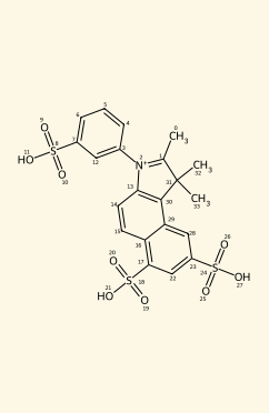 CC1=[N+](c2cccc(S(=O)(=O)O)c2)c2ccc3c(S(=O)(=O)O)cc(S(=O)(=O)O)cc3c2C1(C)C